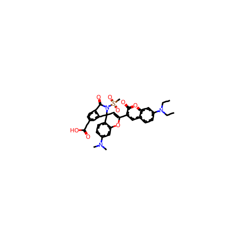 CCN(CC)c1ccc2cc(C3=CC4(c5ccc(N(C)C)cc5O3)c3cc(C(=O)O)ccc3C(=O)N4S(C)(=O)=O)c(=O)oc2c1